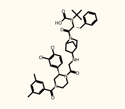 Cc1cc(C)cc(C(=O)N2CCN(C(=O)CNC3CC4CC3CN4C(=O)[C@@H](Cc3ccccc3)N(C(=O)O)C(C)(C)C)[C@H](c3ccc(Cl)c(Cl)c3)C2)c1